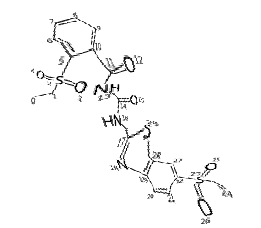 CCS(=O)(=O)c1ccccc1C(=O)NC(=O)Nc1nc2ccc(S(C)(=O)=O)cc2s1